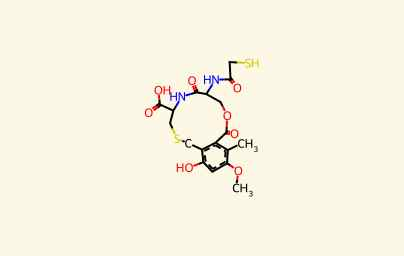 COc1cc(O)c2c(c1C)C(=O)OCC(NC(=O)CS)C(=O)NC(C(=O)O)CSC2